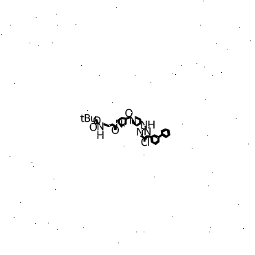 CC(C)(C)OC(=O)NCCCC(=O)N1CCC(C(=O)N2CCC(Nc3ncc(Cl)c(-c4cccc(-c5ccccc5)c4)n3)CC2)CC1